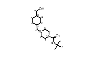 CC(C)(C)OC(=O)N1CCN(CC2CCC(CO)CC2)CC1